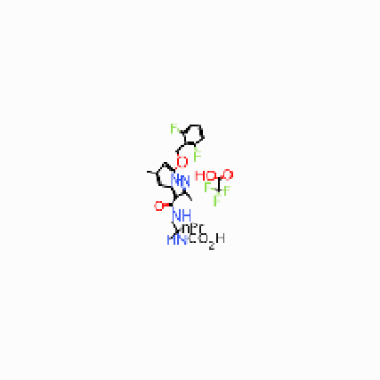 CCCC(C)(CNC(=O)c1c(C)nn2c(OCc3c(F)cccc3F)cc(C)cc12)NC(=O)O.O=C(O)C(F)(F)F